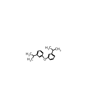 CC(C)c1cccc(Oc2cccc(C(C)C)c2)c1